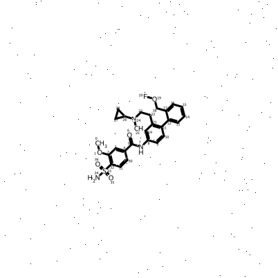 COc1cc(C(=O)Nc2ccc(-c3ccccc3COF)c(CCN(C)C3CC3)c2)ccc1S(N)(=O)=O